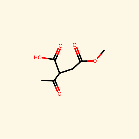 COC(=O)CC(C(C)=O)C(=O)O